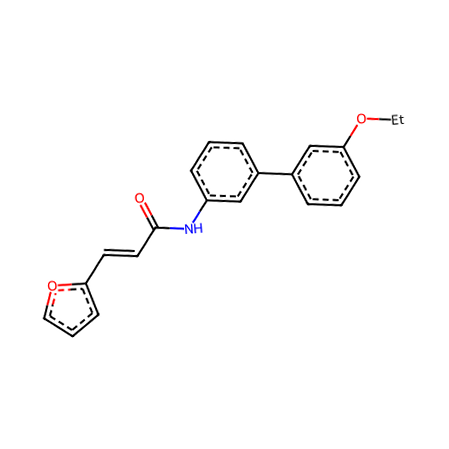 CCOc1cccc(-c2cccc(NC(=O)/C=C/c3ccco3)c2)c1